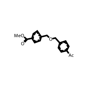 COC(=O)c1ccc(COCc2ccc(C(C)=O)cc2)cc1